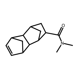 CN(C)C(=O)C1CC2CC1C1C3C=CC(C3)C21